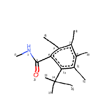 CNC(=O)c1c(C)c(C)c(C)c(C)c1C(C)(C)C